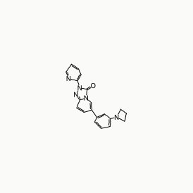 O=c1n(-c2ccccn2)nc2ccc(-c3cccc(N4CCC4)c3)cn12